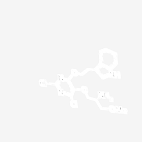 COC[C@@H](N)COc1c(Cl)nc(Cl)nc1OCCc1c[nH]c2ccccc12